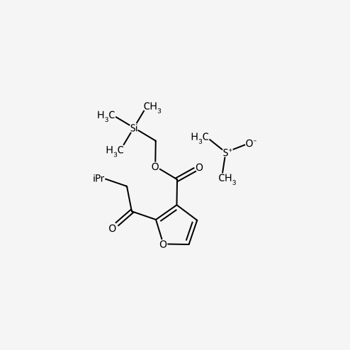 CC(C)CC(=O)c1occc1C(=O)OC[Si](C)(C)C.C[S+](C)[O-]